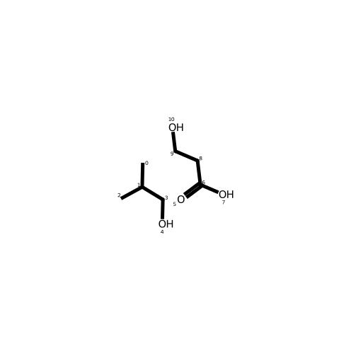 CC(C)CO.O=C(O)CCO